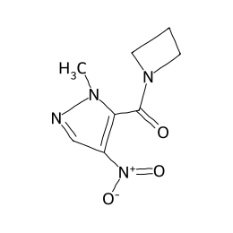 Cn1ncc([N+](=O)[O-])c1C(=O)N1CCC1